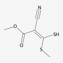 COC(=O)/C(C#N)=C(/S)SC